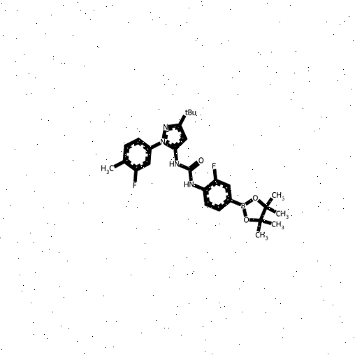 Cc1ccc(-n2nc(C(C)(C)C)cc2NC(=O)Nc2ccc(B3OC(C)(C)C(C)(C)O3)cc2F)cc1F